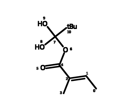 CC=C(C)C(=O)OC(O)(O)C(C)(C)C